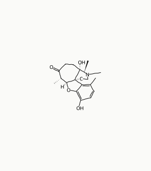 Cc1ccc(O)c2c1[C@]13CCN(C)[C@H](C)[C@]1(O)CCC(=O)[C@@H](C)[C@@H]3O2